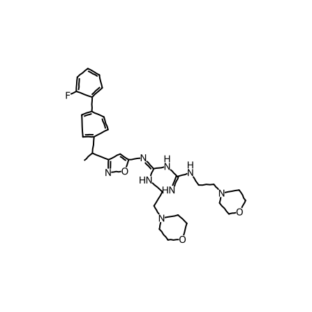 CC(c1ccc(-c2ccccc2F)cc1)c1cc(/N=C(\NCCN2CCOCC2)NC(=N)NCCN2CCOCC2)on1